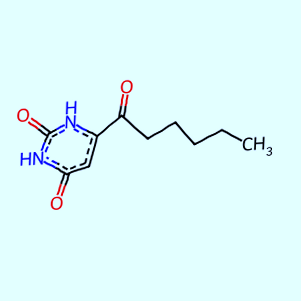 CCCCCC(=O)c1cc(=O)[nH]c(=O)[nH]1